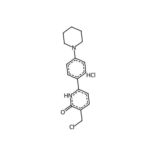 Cl.O=c1[nH]c(-c2ccc(N3CCCCC3)cc2)ccc1CCl